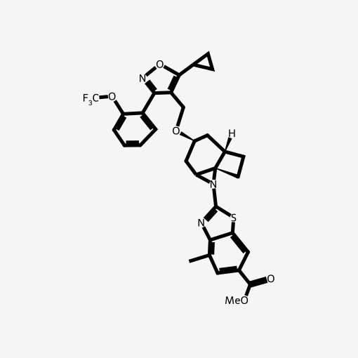 COC(=O)c1cc(C)c2nc(N3C4C[C@@H](OCc5c(-c6ccccc6OC(F)(F)F)noc5C5CC5)C[C@@H]5CC[C@@]453)sc2c1